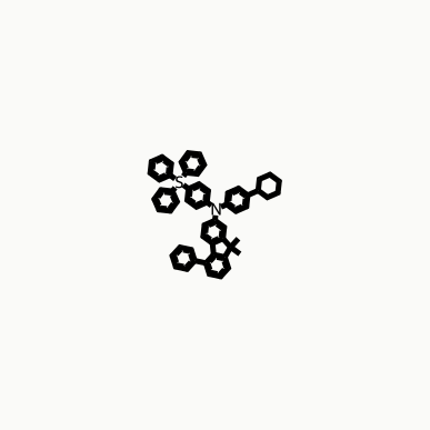 CC1(C)c2cc(N(c3ccc(C4CCCCC4)cc3)c3ccc(S(c4ccccc4)(c4ccccc4)c4ccccc4)cc3)ccc2-c2c(-c3ccccc3)cccc21